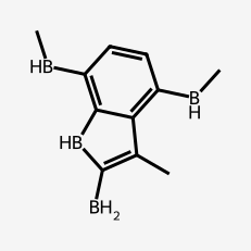 BC1=C(C)c2c(BC)ccc(BC)c2B1